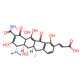 C[C@H]1c2ccc(/C=C/C(=O)O)c(O)c2C(=O)C2=C(O)[C@]3(O)C(=O)C(C(N)=O)=C(O)[C@@H](N(C)C)[C@@H]3[C@@H](O)[C@@H]21